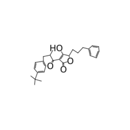 CC(Cc1ccc(C(C)(C)C)cc1)C(=O)C1=C(O)C(CCCc2ccccc2)OC1=O